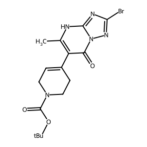 Cc1[nH]c2nc(Br)nn2c(=O)c1C1=CCN(C(=O)OC(C)(C)C)CC1